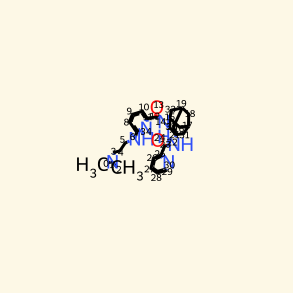 CN(C)CCCNc1cccc(C(=O)NC23CC4CC(CC(NC(=O)c5ccccn5)(C4)C2)C3)n1